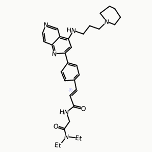 CCN(CC)C(=O)CNC(=O)/C=C/c1ccc(-c2cc(NCCCN3CCCCC3)c3cnccc3n2)cc1